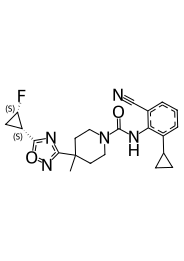 CC1(c2noc([C@@H]3C[C@@H]3F)n2)CCN(C(=O)Nc2c(C#N)cccc2C2CC2)CC1